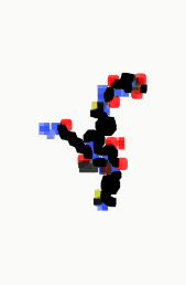 Cc1ncsc1-c1ccc(CNC(=O)[C@@H]2C[C@@H](O)CN2C(=O)C(N(Cc2cc(-c3cccc(-c4csc(NC(=O)CNC(=O)c5ccn(S(C)(=O)=O)c5)n4)c3)ccn2)C(=O)CCCCCCC(N)=O)C(C)(C)C)cc1